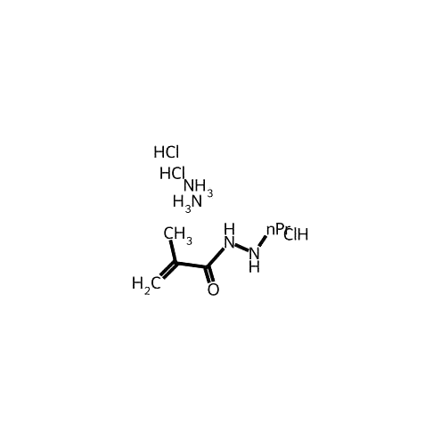 C=C(C)C(=O)NNCCC.Cl.Cl.Cl.N.N